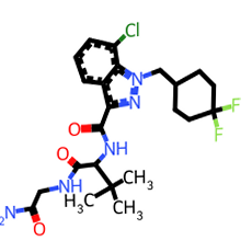 CC(C)(C)C(NC(=O)c1nn(CC2CCC(F)(F)CC2)c2c(Cl)cccc12)C(=O)NCC(N)=O